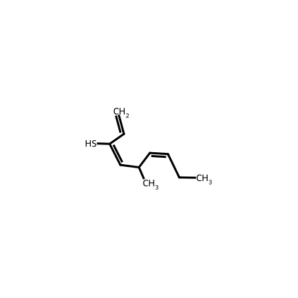 C=C/C(S)=C\C(C)/C=C\CC